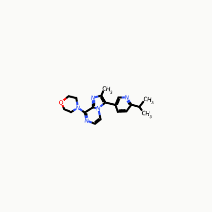 Cc1nc2c(N3CCOCC3)nccn2c1-c1ccc(C(C)C)nc1